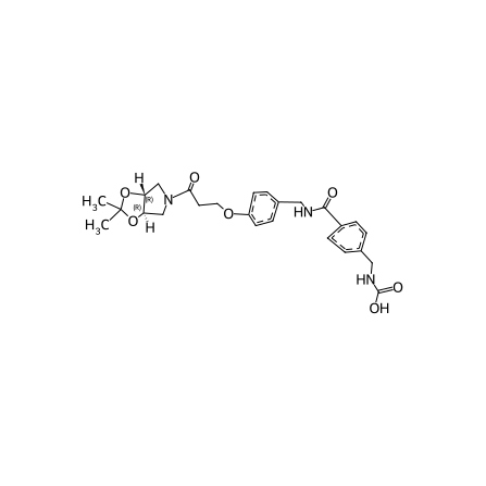 CC1(C)O[C@@H]2CN(C(=O)CCOc3ccc(CNC(=O)c4ccc(CNC(=O)O)cc4)cc3)C[C@H]2O1